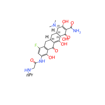 CCCNCC(=O)Nc1cc(F)c2c(c1O)C(=O)C1=C(O)[C@]3(O)C(=O)C(C(N)=O)=C(O)[C@@H](N(C)C)[C@@H]3C[C@@H]1C2